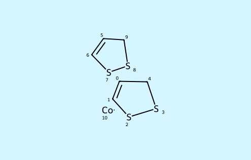 C1=CSSC1.C1=CSSC1.[Co]